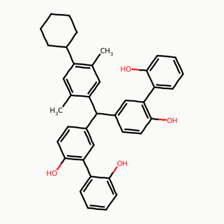 Cc1cc(C(c2ccc(O)c(-c3ccccc3O)c2)c2ccc(O)c(-c3ccccc3O)c2)c(C)cc1C1CCCCC1